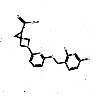 COC(=O)C1CC12CN(c1cccc(OCc3ccc(Cl)cc3F)n1)C2